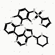 O=S(=O)(Nc1ccc(F)c(Nc2ncccc2-c2ncnc3c2ncn3C2CCCCO2)c1F)c1ccco1